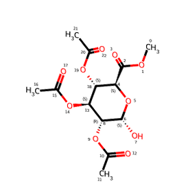 COC(=O)[C@H]1O[C@H](O)[C@H](OC(C)=O)[C@@H](OC(C)=O)[C@@H]1OC(C)=O